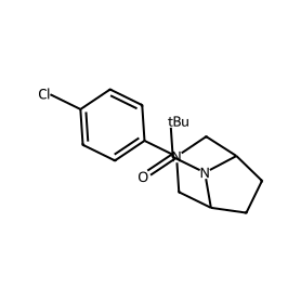 CC(C)(C)C(=O)N1C2CCC1CN(c1ccc(Cl)cc1)C2